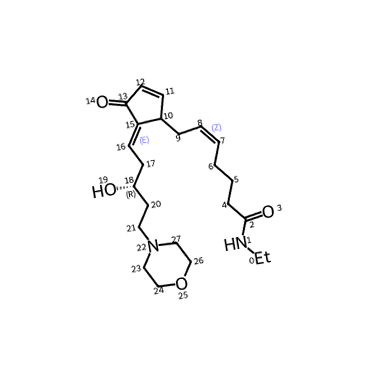 CCNC(=O)CCC/C=C\CC1C=CC(=O)/C1=C/C[C@@H](O)CCN1CCOCC1